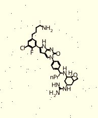 CCC[C@H](NC1C[C@H](NC(=N)N)CC2CO[C@@H]21)c1ccc(-n2cc3cc(-c4cc(CCC[C@H](C)N)cc(Cl)c4F)[nH]c3nc2=O)cc1